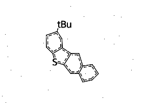 CC(C)(C)c1ccc2sc3cc4ccccc4cc3c2c1